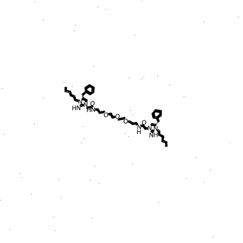 CCCCCCN1C(=N)N(CC(=O)NCCCOCCOCCOCCCNC(=O)CN2C[C@H](Cc3ccccc3)N(CCCCCC)C2=N)C[C@@H]1Cc1ccccc1